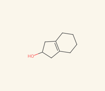 OC1CC2=C(CCCC2)C1